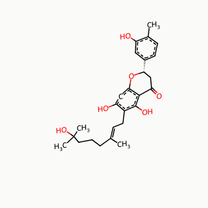 C/C(=C\Cc1c(O)cc2c(c1O)C(=O)C[C@@H](c1ccc(C)c(O)c1)O2)CCCC(C)(C)O